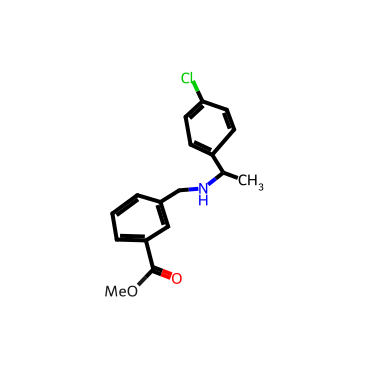 COC(=O)c1cccc(CNC(C)c2ccc(Cl)cc2)c1